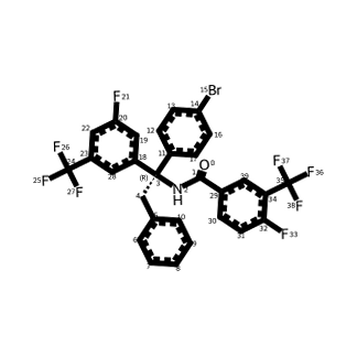 O=C(N[C@](Cc1ccccc1)(c1ccc(Br)cc1)c1cc(F)cc(C(F)(F)F)c1)c1ccc(F)c(C(F)(F)F)c1